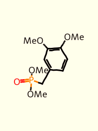 COc1ccc(CP(=O)(OC)OC)cc1OC